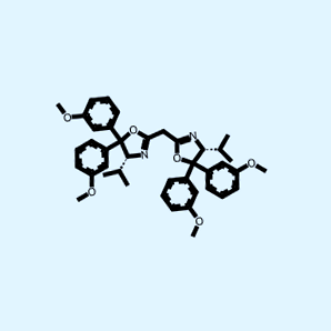 COc1cccc(C2(c3cccc(OC)c3)OC(CC3=N[C@H](C(C)C)C(c4cccc(OC)c4)(c4cccc(OC)c4)O3)=N[C@@H]2C(C)C)c1